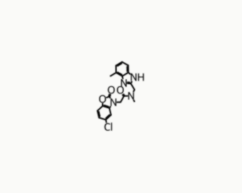 Cc1cccc2[nH]c(CN(C)C(=O)Cn3c(=O)oc4ccc(Cl)cc43)nc12